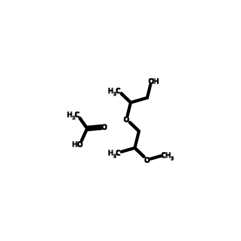 CC(=O)O.COC(C)COC(C)CO